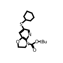 CC(C)(C)OC(=O)N1CCOc2cc(SC3CCCCC3)cnc21